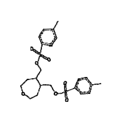 Cc1ccc(S(=O)(=O)OCC2CCOCCC2COS(=O)(=O)c2ccc(C)cc2)cc1